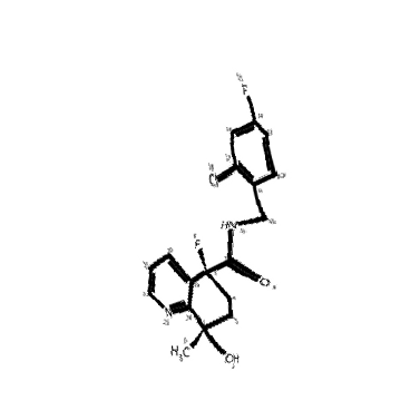 C[C@]1(O)CC[C@@](F)(C(=O)NCc2ccc(F)cc2Cl)c2cccnc21